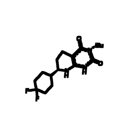 CC[C@@H](C)n1c(=O)[nH]c2c(c1=O)CC[C@H](C1CCC(F)(F)CC1)N2